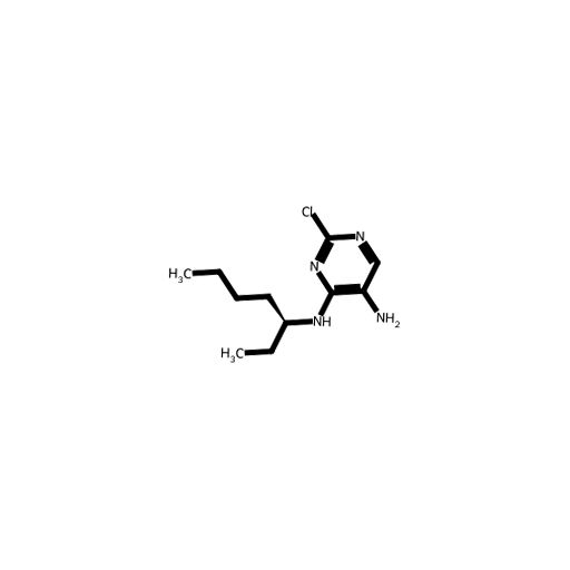 CCCC[C@H](CC)Nc1nc(Cl)ncc1N